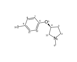 CN1CC[C@H](Oc2ccc(I)cc2)C1